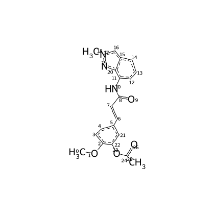 COc1ccc(/C=C/C(=O)Nc2cccc3cn(C)nc23)cc1OC(C)=O